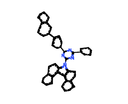 c1ccc(-c2nc(-c3ccc(-c4ccc5ccccc5c4)cc3)nc(-n3c4ccc5ccccc5c4c4c5ccccc5ccc43)n2)cc1